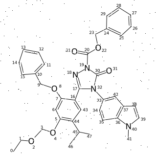 CCOCOc1cc(OCc2ccccc2)c(-c2nn(C(=O)OCc3ccccc3)c(=O)n2-c2ccc3c(ccn3C)c2)cc1C(C)C